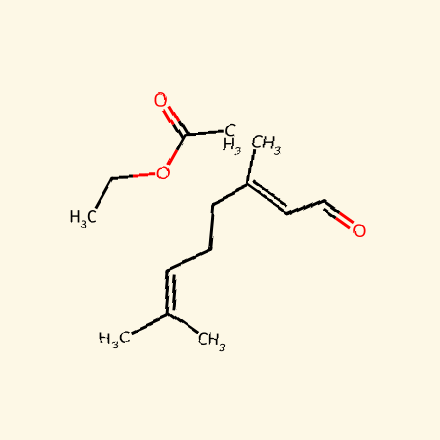 CC(C)=CCCC(C)=CC=O.CCOC(C)=O